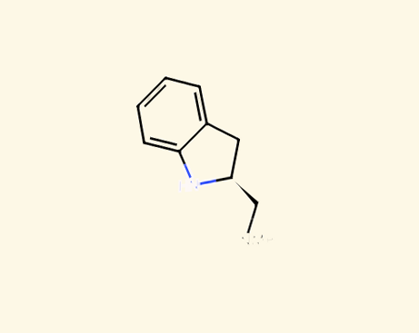 CNC[C@@H]1Cc2ccccc2N1